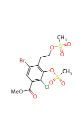 COC(=O)c1cc(Br)c(CCOS(C)(=O)=O)c(OS(C)(=O)=O)c1Cl